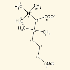 CCCCCCCCCCCC(C)(C)C(C(=O)[O-])[N+](C)(C)C